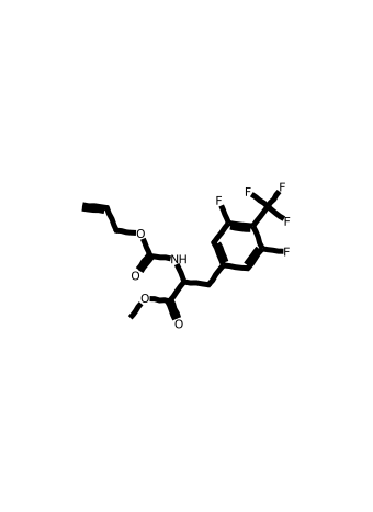 C=CCOC(=O)NC(Cc1cc(F)c(C(F)(F)F)c(F)c1)C(=O)OC